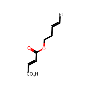 CCC=CCCOC(=O)C=CC(=O)O